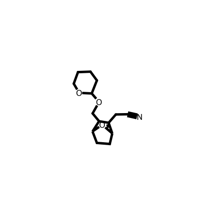 N#CCC1=C2CCC(O2)C1COC1CCCCO1